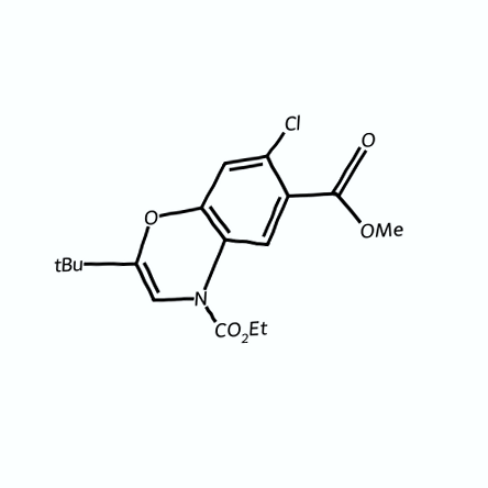 CCOC(=O)N1C=C(C(C)(C)C)Oc2cc(Cl)c(C(=O)OC)cc21